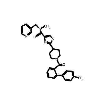 CN(Cc1cccnc1)C(=O)c1csc(C2CCN(C(=O)c3ccccc3-c3ccc(C(F)(F)F)cc3)CC2)n1